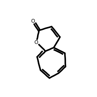 O=c1ccc2c(o1)=CC=CC=CC=2